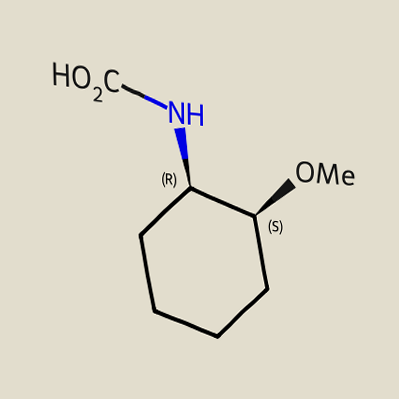 CO[C@H]1CCCC[C@H]1NC(=O)O